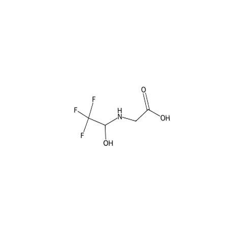 O=C(O)CNC(O)C(F)(F)F